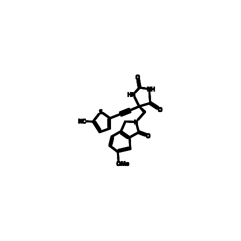 COc1ccc2c(c1)C(=O)N(C[C@@]1(C#Cc3ccc(C#N)s3)NC(=O)NC1=O)C2